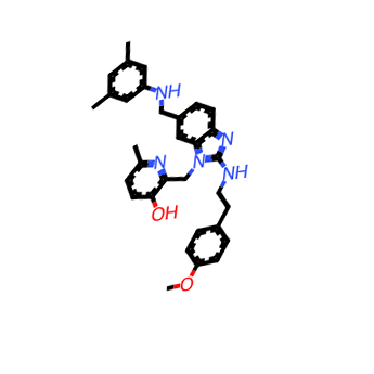 COc1ccc(CCNc2nc3ccc(CNc4cc(C)cc(C)c4)cc3n2Cc2nc(C)ccc2O)cc1